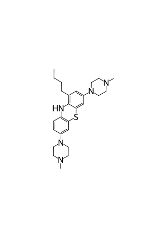 CCCCc1cc(N2CCN(C)CC2)cc2c1Nc1ccc(N3CCN(C)CC3)cc1S2